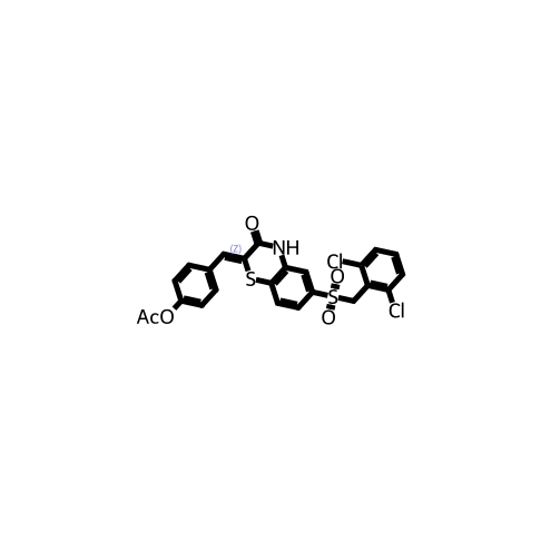 CC(=O)Oc1ccc(/C=C2\Sc3ccc(S(=O)(=O)Cc4c(Cl)cccc4Cl)cc3NC2=O)cc1